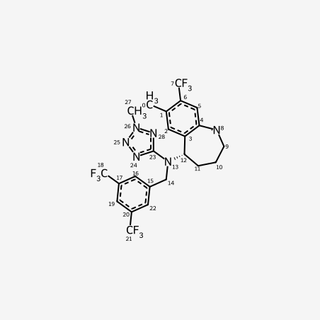 Cc1cc2c(cc1C(F)(F)F)[N]CCC[C@@H]2N(Cc1cc(C(F)(F)F)cc(C(F)(F)F)c1)c1nnn(C)n1